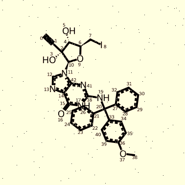 C#C[C@@]1(O)[C@H](O)[C@@H](CI)O[C@H]1n1cnc2c(=O)[nH]c(NC(c3ccccc3)(c3ccccc3)c3ccc(OC)cc3)nc21